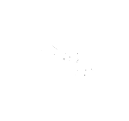 CC(=O)[C@@]1(O)CC[C@H]2[C@@H]3CCC4=C[C@@H](O)CC[C@]4(C)[C@H]3CC[C@@]21C